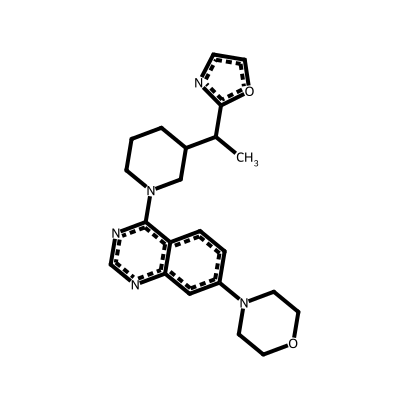 CC(c1ncco1)C1CCCN(c2ncnc3cc(N4CCOCC4)ccc23)C1